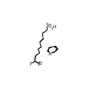 O=S(=O)(O)CCCCCCCCC(F)F.c1ccncc1